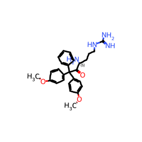 COc1ccc(C(C(=O)[C@@H](N)CCCNC(=N)N)(c2ccccc2)c2ccc(OC)cc2)cc1